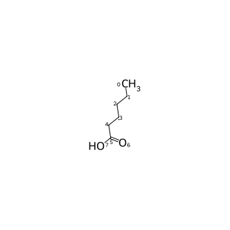 CCC[CH]CC(=O)O